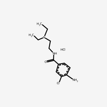 CCN(CC)CCNC(=O)c1ccc(N)c(Cl)c1.Cl